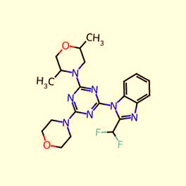 CC1CN(c2nc(N3CCOCC3)nc(-n3c(C(F)F)nc4ccccc43)n2)C(C)CO1